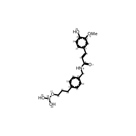 COc1cc(/C=C/C(=O)NCc2ccc(CCCON(O)O)cc2)ccc1O